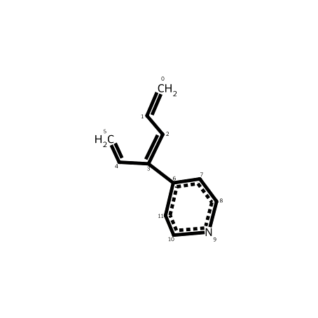 C=C/C=C(\C=C)c1ccncc1